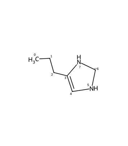 CCCC1=CN[C]N1